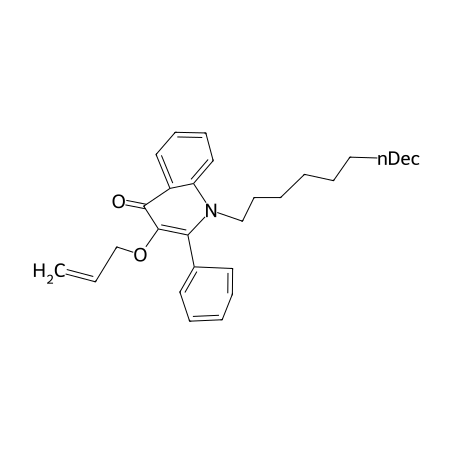 C=CCOc1c(-c2ccccc2)n(CCCCCCCCCCCCCCCC)c2ccccc2c1=O